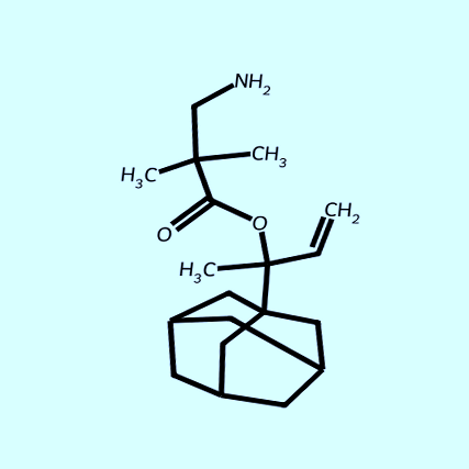 C=CC(C)(OC(=O)C(C)(C)CN)C12CC3CC(CC(C3)C1)C2